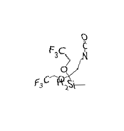 C[SiH2]C(CCN=C=O)(OCC(F)(F)F)OCC(F)(F)F